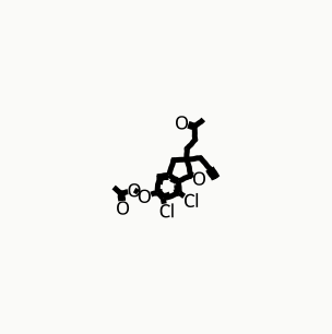 C#CCC1(CCC(C)=O)Cc2cc(OOC(C)=O)c(Cl)c(Cl)c2C1=O